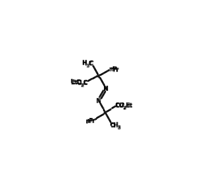 CCCC(C)(N=NC(C)(CCC)C(=O)OCC)C(=O)OCC